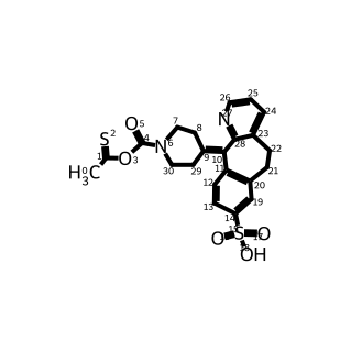 CC(=S)OC(=O)N1CCC(=C2c3ccc(S(=O)(=O)O)cc3CCc3cccnc32)CC1